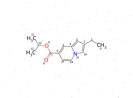 CCc1cc2cc(C(=O)OC(C)C)ccn2c1